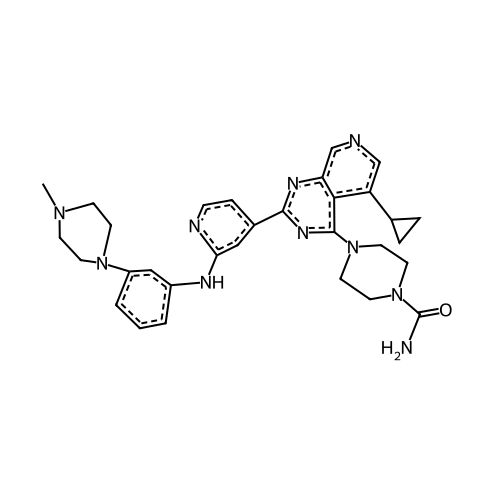 CN1CCN(c2cccc(Nc3cc(-c4nc(N5CCN(C(N)=O)CC5)c5c(C6CC6)cncc5n4)ccn3)c2)CC1